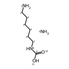 N.NCCCCCCNC(=O)O